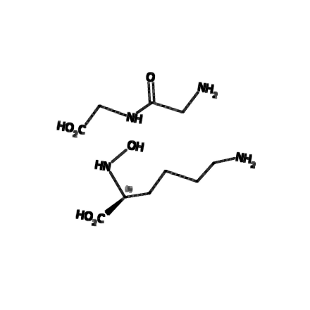 NCC(=O)NCC(=O)O.NCCCC[C@H](NO)C(=O)O